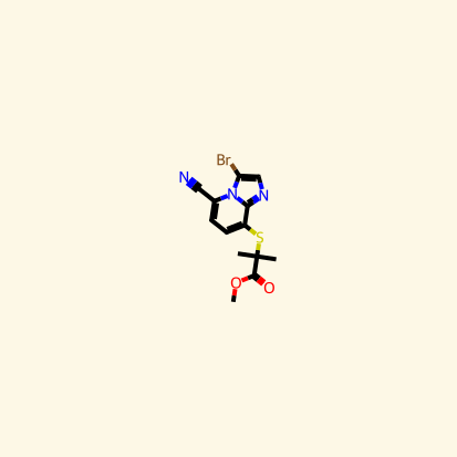 COC(=O)C(C)(C)Sc1ccc(C#N)n2c(Br)cnc12